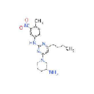 CCCCc1cc(N2CCCC(N)C2)nc(Nc2ccc(C)c([N+](=O)[O-])c2)n1